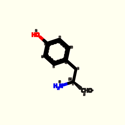 N[C@H]([C]=O)Cc1ccc(O)cc1